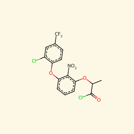 CC(Oc1cccc(Oc2ccc(C(F)(F)F)cc2Cl)c1[N+](=O)[O-])C(=O)Cl